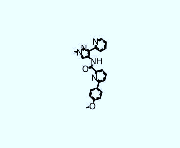 COc1ccc(-c2cccc(C(=O)Nc3cn(C)nc3-c3ccccn3)n2)cc1